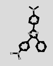 CCN(CC)c1ccc(-c2nc(-c3ccc(N(C)C)cc3)oc2-c2ccccc2)cc1